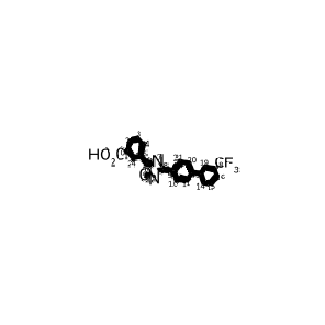 O=C(O)c1cccc(-c2nc(-c3ccc(-c4cccc(C(F)(F)F)c4)cc3)no2)c1